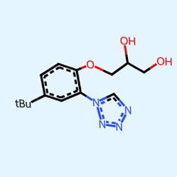 CC(C)(C)c1ccc(OCC(O)CO)c(-n2cnnn2)c1